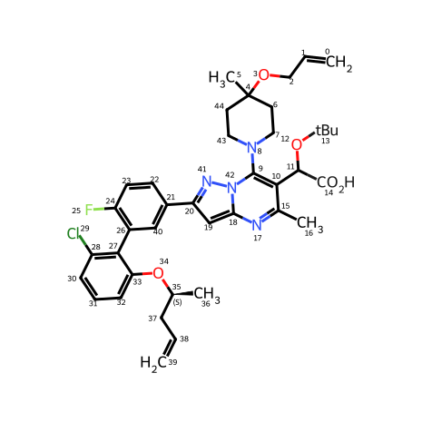 C=CCOC1(C)CCN(c2c(C(OC(C)(C)C)C(=O)O)c(C)nc3cc(-c4ccc(F)c(-c5c(Cl)cccc5O[C@@H](C)CC=C)c4)nn23)CC1